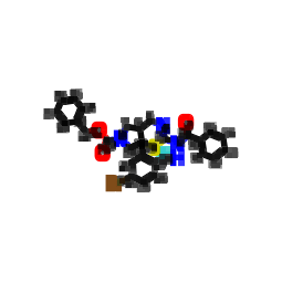 O=C(NC1=NCC2CN(C(=O)OCc3ccccc3)CC2(c2cc(Br)ccc2F)S1)c1ccccc1